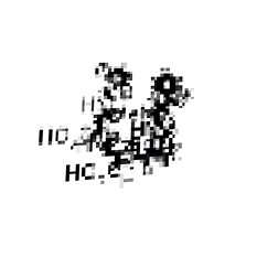 CN[C@H](C(=O)N[C@H](C(=O)N(C)[C@H](/C=C(\C)C(=O)N[C@H](CCC(=O)N[C@H](CCC(=O)NCCN1C(=O)C=CC1=O)C(=O)O)C(=O)O)C(C)C)C(C)(C)C)C(C)(C)c1cn(C)c2ccccc12